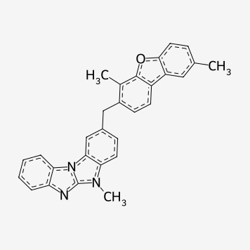 Cc1ccc2oc3c(C)c(Cc4ccc5c(c4)n4c6ccccc6nc4n5C)ccc3c2c1